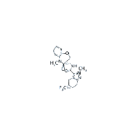 CN1C(=O)[C@@H](NC(=O)c2c3c(nn2C)CC[C@H](C(F)(F)F)C3)COc2ccccc21